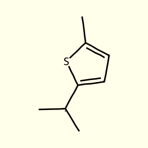 C[C](C)c1ccc(C)s1